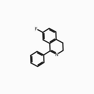 Fc1ccc2c(c1)C(c1ccccc1)=NCC2